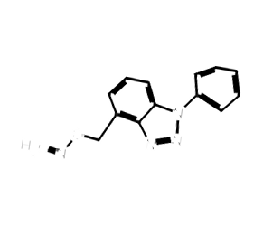 C=NOCc1cccc2c1nnn2-c1ccccc1